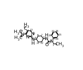 CCN(C(=O)NC1CCC(Nc2ncc(C)c(N(C)C)n2)CC1)c1ccccc1